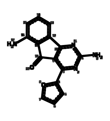 Nc1nc(-c2ccco2)c2c(n1)-c1cccc(N)c1C2=O